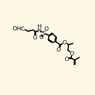 C=C(C)C(=O)OCC(C)OC(=O)c1ccc(S(=O)(=O)NC(=O)CCC=O)cc1